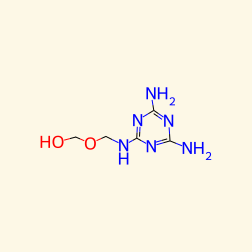 Nc1nc(N)nc(NCOCO)n1